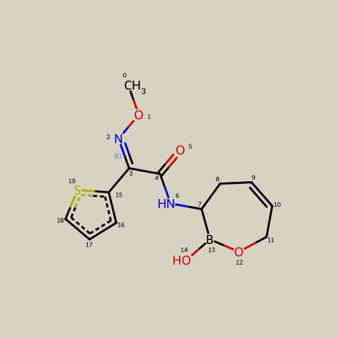 CO/N=C(\C(=O)NC1CC=CCOB1O)c1cccs1